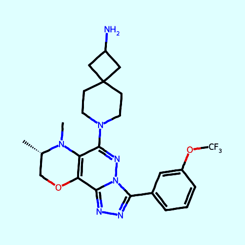 C[C@H]1COc2c(c(N3CCC4(CC3)CC(N)C4)nn3c(-c4cccc(OC(F)(F)F)c4)nnc23)N1C